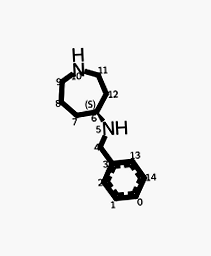 c1ccc(CN[C@H]2CCCNCC2)cc1